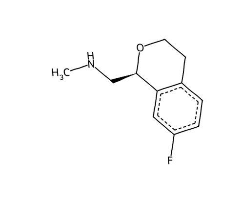 CNC[C@H]1OCCc2ccc(F)cc21